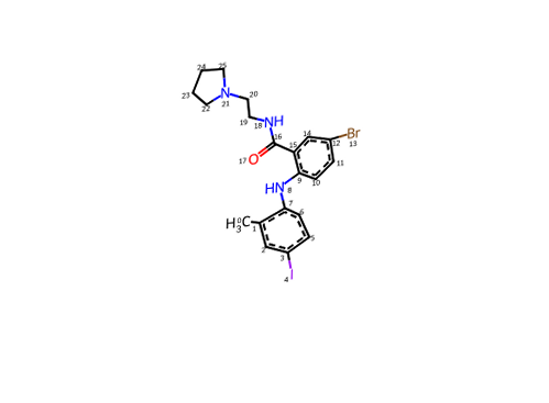 Cc1cc(I)ccc1Nc1ccc(Br)cc1C(=O)NCCN1CCCC1